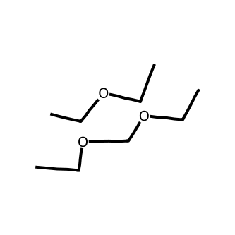 CCOCC.CCOCOCC